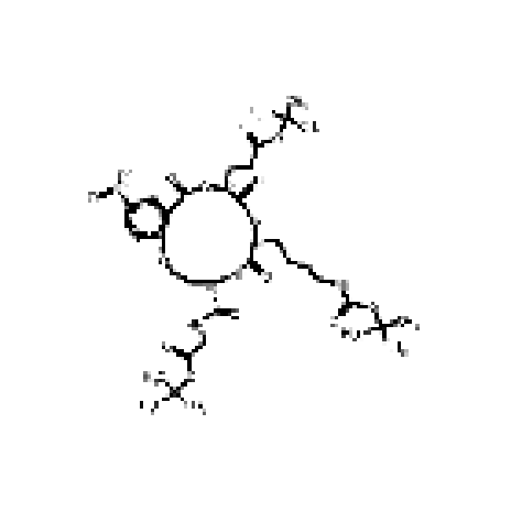 CC(C)(C)OC(=O)CC[C@@H]1NC(=O)c2cc([N+](=O)[O-])ccc2OCC[C@@H](C(=O)NCC(=O)OC(C)(C)C)NC(=O)[C@H](CCCCNC(=O)OC(C)(C)C)NC1=O